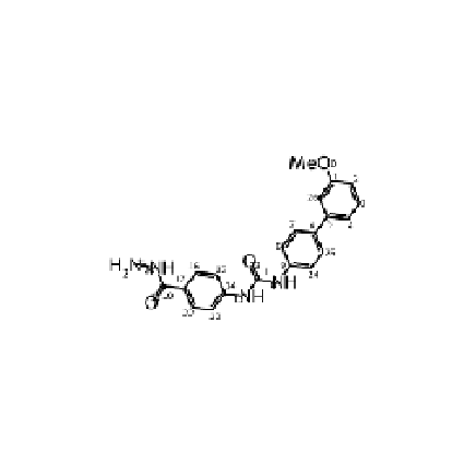 COc1cccc(-c2ccc(NC(=O)Nc3ccc(C(=O)NN)cc3)cc2)c1